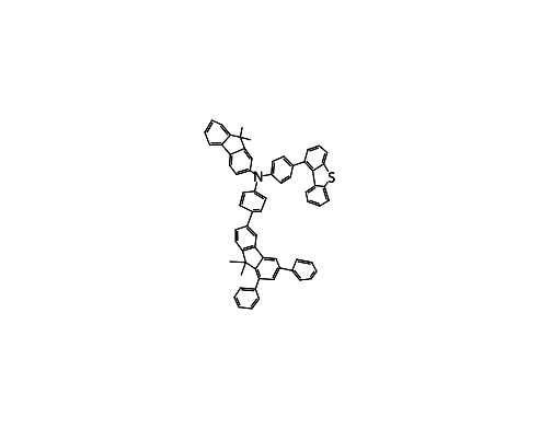 CC1(C)c2ccccc2-c2ccc(N(c3ccc(-c4ccc5c(c4)-c4cc(-c6ccccc6)cc(-c6ccccc6)c4C5(C)C)cc3)c3ccc(-c4cccc5sc6ccccc6c45)cc3)cc21